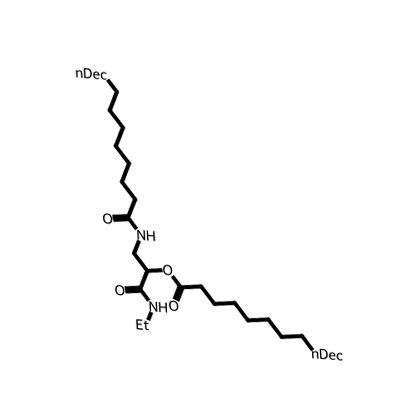 CCCCCCCCCCCCCCCCCC(=O)NCC(OC(=O)CCCCCCCCCCCCCCCCC)C(=O)NCC